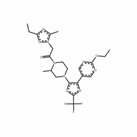 CCOc1ncc(-c2nc(C(F)(F)F)sc2N2CCN(C(=O)Cn3nc(CC)nc3C)C(C)C2)cn1